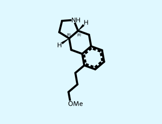 COCCCc1cccc2c1C[C@@H]1CCN[C@@H]1C2